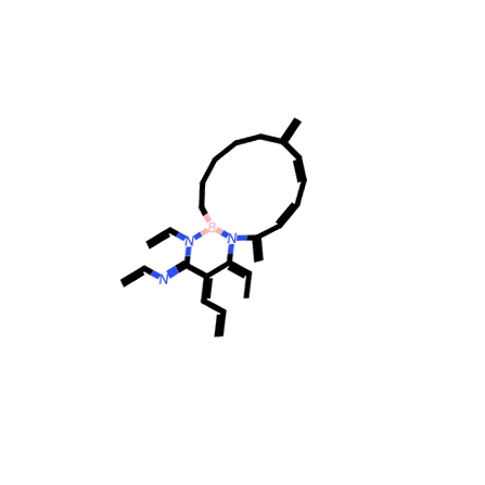 C=C/C=C1C(=N/C=C)/N(C=C)B2CCCCCC(=C)/C=C\C=C/C(=C)N2C/1=C/C